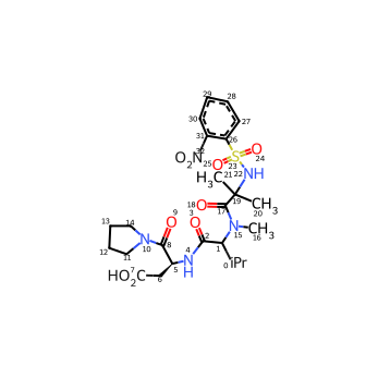 CC(C)C(C(=O)N[C@@H](CC(=O)O)C(=O)N1CCCC1)N(C)C(=O)C(C)(C)NS(=O)(=O)c1ccccc1[N+](=O)[O-]